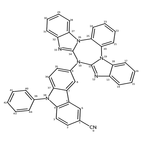 N#Cc1ccc2c(c1)c1cc(-n3c4nc5ccccc5n4c4ccccc4n4c5ccccc5nc34)ccc1n2-c1ccccc1